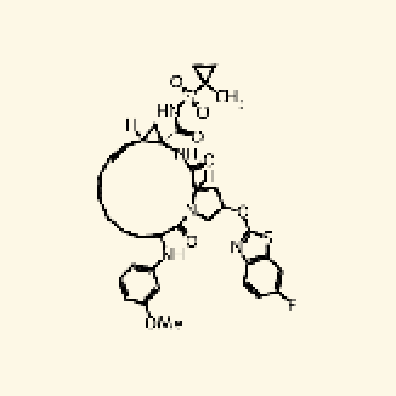 COc1cccc(N[C@H]2CCCCC/C=C\[C@@H]3C[C@@]3(C(=O)NS(=O)(=O)C3(C)CC3)NC(=O)[C@@H]3C[C@@H](Oc4nc5ccc(F)cc5s4)CN3C2=O)c1